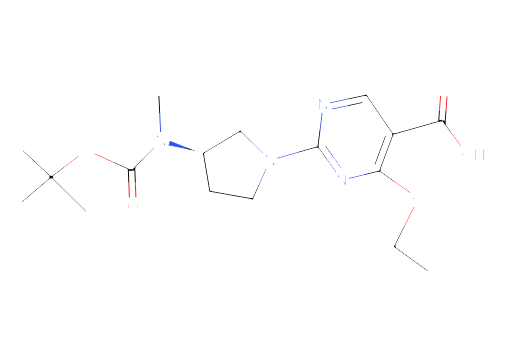 CCOc1nc(N2CC[C@@H](N(C)C(=O)OC(C)(C)C)C2)ncc1C(=O)O